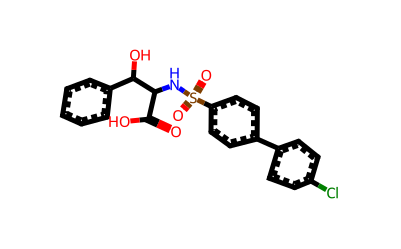 O=C(O)C(NS(=O)(=O)c1ccc(-c2ccc(Cl)cc2)cc1)C(O)c1ccccc1